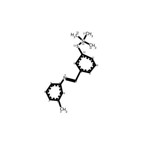 Cc1cccc(N=Cc2cccc(S[Si](C)(C)C)c2)c1